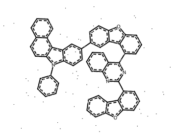 c1ccc(-n2c3ccc(-c4ccc5oc6cccc(-c7nc(-c8cccc9oc%10ccccc%10c89)nc8ccccc78)c6c5c4)cc3c3c4ccccc4ccc32)cc1